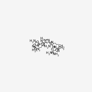 CCCCc1nn(-c2cc(-n3nc(CCCC)c(/N=N/c4c(C(=O)N(N)N)cnn4C)c3N)ncn2)c(N)c1/N=N/c1c(C(N)=O)cnn1C